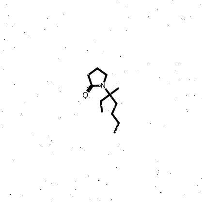 CCCCC(C)(CC)N1CCCC1=O